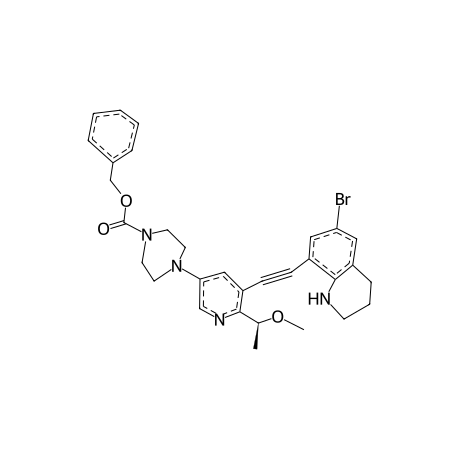 CO[C@@H](C)c1ncc(N2CCN(C(=O)OCc3ccccc3)CC2)cc1C#Cc1cc(Br)cc2c1NCCC2